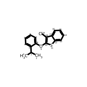 CC(C)c1ccccc1Oc1sc2ccccc2c1Cl